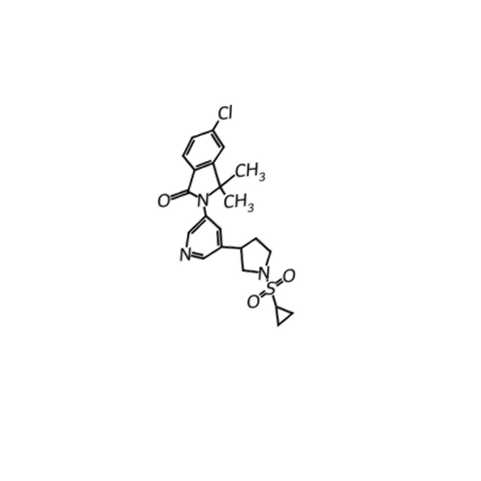 CC1(C)c2cc(Cl)ccc2C(=O)N1c1cncc(C2CCN(S(=O)(=O)C3CC3)C2)c1